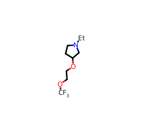 CCN1CCC(OCCOC(F)(F)F)C1